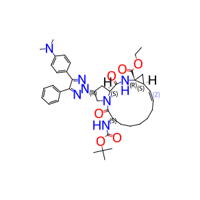 CCOC(=O)[C@@]12C[C@H]1/C=C\CCCCC[C@H](NC(=O)OC(C)(C)C)C(=O)N1C[C@H](n3nc(-c4ccccc4)c(-c4ccc(N(C)C)cc4)n3)C[C@H]1C(=O)N2